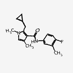 Cc1cc(NC(=O)c2c(C)cn(C)c2CC2CC2)ccc1F